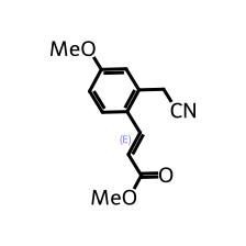 COC(=O)/C=C/c1ccc(OC)cc1CC#N